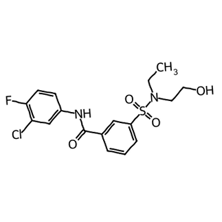 CCN(CCO)S(=O)(=O)c1cccc(C(=O)Nc2ccc(F)c(Cl)c2)c1